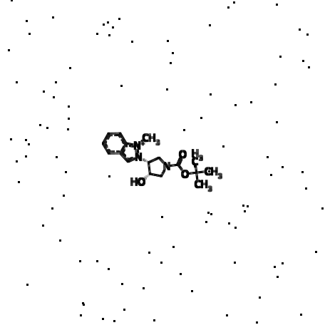 C[n+]1c2ccccc2cn1[C@@H]1CN(C(=O)OC(C)(C)C)C[C@@H]1O